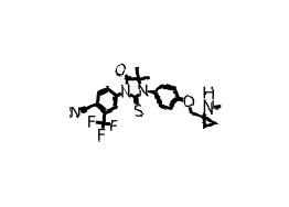 CNC1(COc2ccc(N3C(=S)N(c4ccc(C#N)c(C(F)(F)F)c4)C(=O)C3(C)C)cc2)CC1